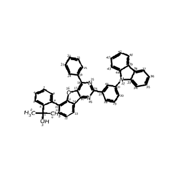 CC(C)(O)c1ccccc1-c1cccc2c1oc1c(-c3ccccc3)nc(-c3cccc(-n4c5ccccc5c5ccccc54)c3)nc12